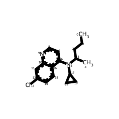 C[CH]CC(C)N(c1ccnc2cc(Cl)ccc12)C1CC1